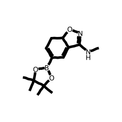 CNC1=NOC2CC=C(B3OC(C)(C)C(C)(C)O3)C=C12